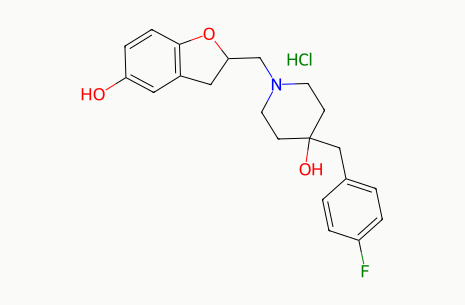 Cl.Oc1ccc2c(c1)CC(CN1CCC(O)(Cc3ccc(F)cc3)CC1)O2